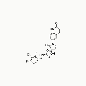 O=C1CCc2cc(N3CC[C@](O)(OC(=O)NCc4ccc(F)c(Cl)c4F)C3=O)ccc2N1